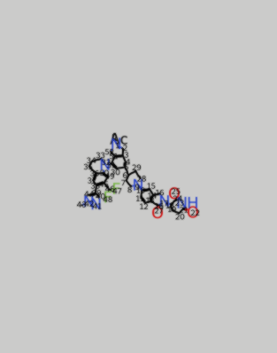 CC(=O)N1Cc2cc(C3CCN(c4ccc5c(c4)CN(C4CCC(=O)NC4=O)C5=O)CC3)cc(N3CCCc4cc(-c5cnn(C)c5)c(C(F)F)cc43)c2C1